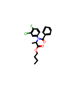 CCCCOC(=O)C(C)N(C(=O)c1ccccc1)c1ccc(F)c(Cl)c1